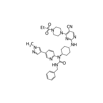 CCS(=O)(=O)N1CCN(c2nc(N[C@H]3CC[C@H](N(C(=O)NCc4ccccc4)c4ccc(-c5cnn(C)c5)cn4)CC3)ncc2C#N)CC1